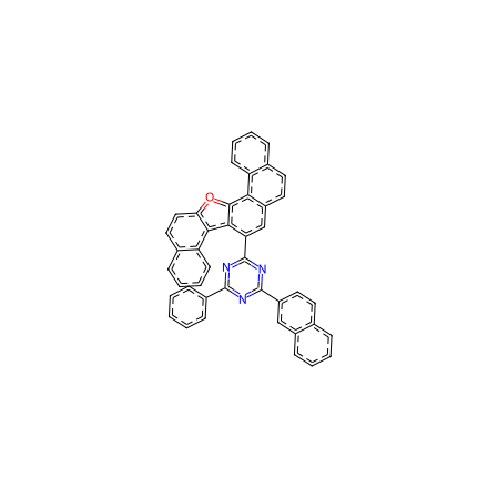 c1ccc(-c2nc(-c3ccc4ccccc4c3)nc(-c3cc4ccc5ccccc5c4c4oc5ccc6ccccc6c5c34)n2)cc1